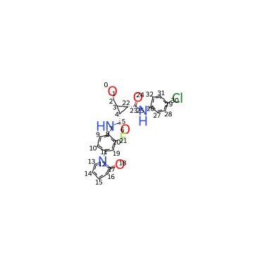 COCC1[C@@H](C(=O)Nc2ccc(-n3ccccc3=O)cc2F)[C@H]1C(=O)Nc1ccc(Cl)cc1